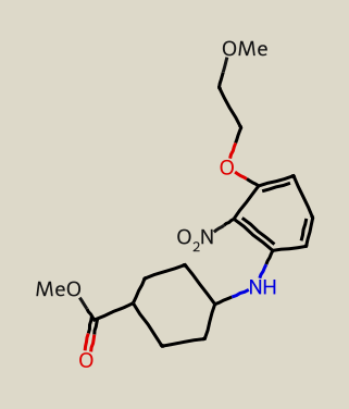 COCCOc1cccc(NC2CCC(C(=O)OC)CC2)c1[N+](=O)[O-]